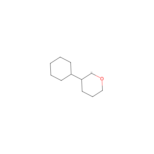 [C]1OCCCC1C1CCCCC1